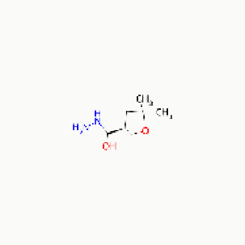 CC1(C)C[C@H](C(O)NN)CO1